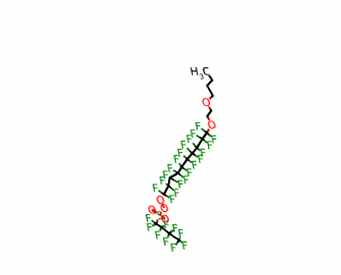 CCCCOCCOC(F)(F)C(F)(F)C(F)(F)C(F)(F)C(F)(F)C(F)(F)C(F)(F)C(F)(F)C(F)(F)C(F)(F)OOS(=O)(=O)C(F)(F)C(F)(F)C(F)(F)C(F)(F)F